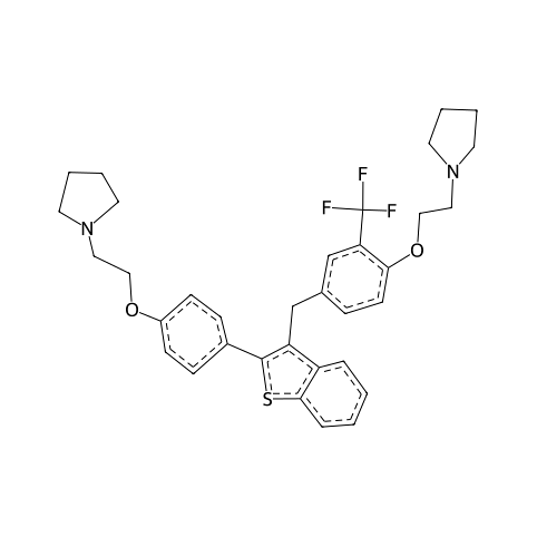 FC(F)(F)c1cc(Cc2c(-c3ccc(OCCN4CCCC4)cc3)sc3ccccc23)ccc1OCCN1CCCC1